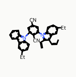 C=Cc1c(/C=C\C)c2cc(CC)ccc2n1-c1cc(C#N)cc(-n2c3ccccc3c3cc(CC)ccc32)c1C#N